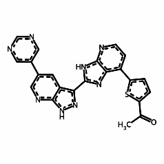 CC(=O)c1ccc(-c2ccnc3[nH]c(-c4n[nH]c5ncc(-c6cncnc6)cc45)nc23)s1